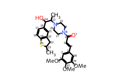 COc1cc(C=CC(=O)N2CCN(C(C)C(O)c3ccc4c(c3)CC(C)S4)CC2)cc(OC)c1OC